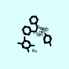 Cc1cc(C)c(C)cc1C.Cc1ccc(S(=O)(=O)N[C@H](c2ccccc2)[C@H](N)c2ccccc2)cc1.[Ru]